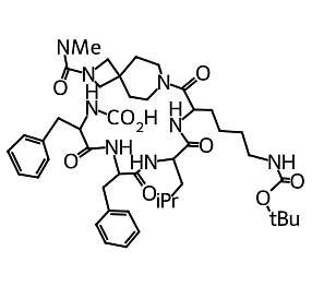 CNC(=O)N1CC2(CCN(C(=O)C(CCCCNC(=O)OC(C)(C)C)NC(=O)C(CC(C)C)NC(=O)C(Cc3ccccc3)NC(=O)C(Cc3ccccc3)NC(=O)O)CC2)C1